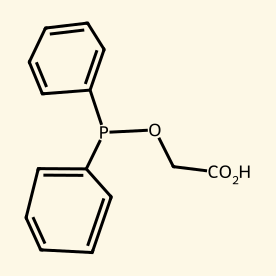 O=C(O)COP(c1ccccc1)c1ccccc1